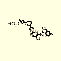 Cc1ccc(C(C)Nc2nc(N3CC(C4CCCN(C5CC(C)(C(=O)O)C5)C4)C3)ncc2Cl)c(Cl)c1